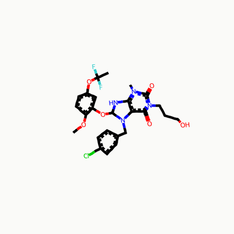 COc1ccc(OC(C)(F)F)cc1OC1Nc2c(c(=O)n(CCCO)c(=O)n2C)N1Cc1ccc(Cl)cc1